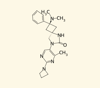 Cc1nc(N2CCC2)ncc1N1C[C@]2(C[C@](c3ccccc3)(N(C)C)C2)NC1=O